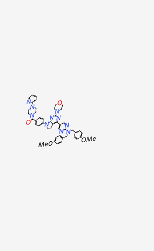 COc1ccc(CN(Cc2ccc(OC)cc2)c2ncc(-c3nc(N4CCOCC4)nc4c3CCN4c3ccc(C(=O)N4CCN(c5ccccn5)CC4)cc3)cn2)cc1